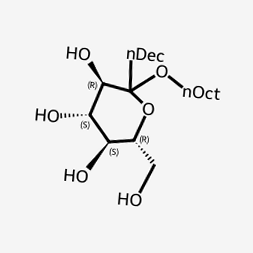 CCCCCCCCCCC1(OCCCCCCCC)O[C@H](CO)[C@@H](O)[C@H](O)[C@H]1O